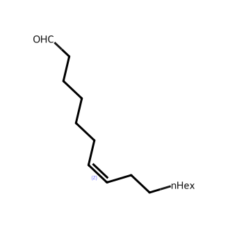 CCCCCCCC/C=C\CCCCCC=O